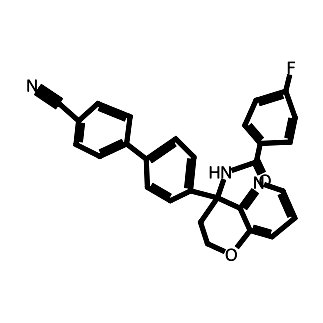 N#Cc1ccc(-c2ccc(C3(NC(=O)c4ccc(F)cc4)CCOc4cccnc43)cc2)cc1